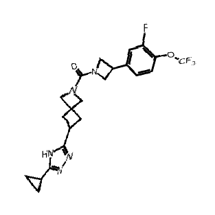 O=C(N1CC(c2ccc(OC(F)(F)F)c(F)c2)C1)N1CC2(CC(c3nnc(C4CC4)[nH]3)C2)C1